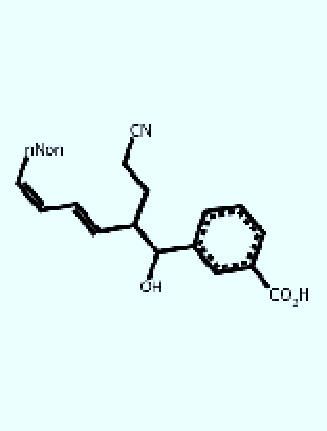 CCCCCCCCC/C=C\C=C\C(CCC#N)C(O)c1cccc(C(=O)O)c1